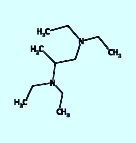 CCN(CC)CC(C)N(CC)CC